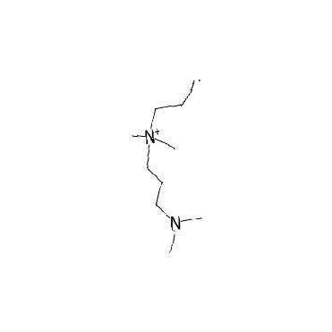 [CH2]CC[N+](C)(C)CCCN(C)C